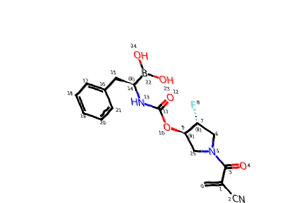 C=C(C#N)C(=O)N1C[C@@H](F)[C@H](OC(=O)N[C@@H](Cc2ccccc2)B(O)O)C1